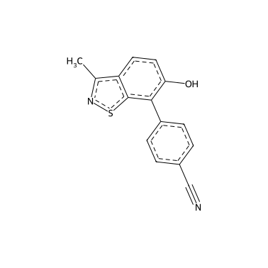 Cc1nsc2c(-c3ccc(C#N)cc3)c(O)ccc12